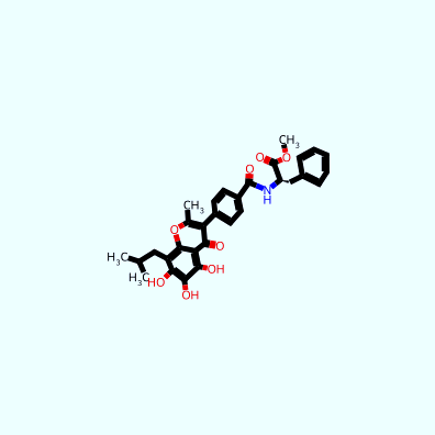 COC(=O)[C@H](Cc1ccccc1)NC(=O)c1ccc(-c2c(C)oc3c(CC(C)C)c(O)c(O)c(O)c3c2=O)cc1